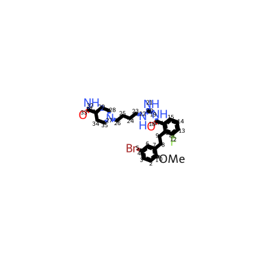 COc1ccc(Br)cc1CCc1c(F)cccc1C(=O)NC(=N)NCCCCN1CCC(C(N)=O)CC1